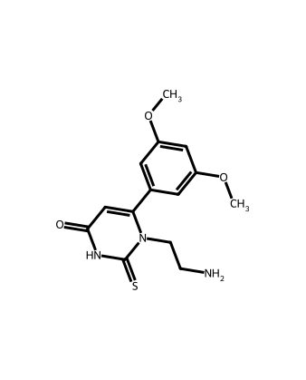 COc1cc(OC)cc(-c2cc(=O)[nH]c(=S)n2CCN)c1